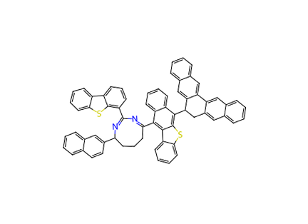 c1ccc2cc(C3CCC/C(c4c5ccccc5c(C5Cc6cc7ccccc7cc6-c6cc7ccccc7cc65)c5sc6ccccc6c45)=N\C(c4cccc5c4sc4ccccc45)=N/3)ccc2c1